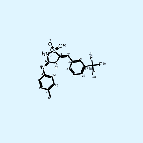 Cc1ccc(N=C2NS(=O)(=O)C(=Cc3cccc(C(F)(F)F)c3)S2)cc1